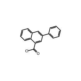 O=C(Cl)c1cc(-c2ccccc2)cc2ccccc12